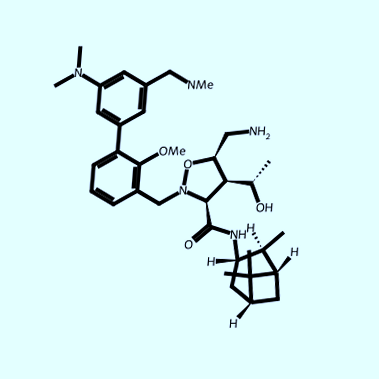 CNCc1cc(-c2cccc(CN3O[C@@H](CN)[C@@H]([C@H](C)O)[C@H]3C(=O)N[C@H]3C[C@H]4C[C@@H]([C@@H]3C)C4(C)C)c2OC)cc(N(C)C)c1